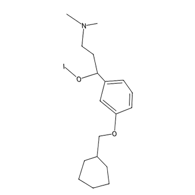 CN(C)CCC(OI)c1cccc(OCC2CCCCC2)c1